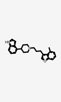 Cc1cccc2occ(CCCN3CCC(c4cccc5[nH]ccc45)CC3)c12